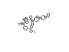 CCOC(=O)c1cccc(Nc2nnc(C(=O)Nc3ccc(N4CCN(C(C)=O)CC4)nc3)o2)c1